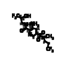 CN(CCC(F)(F)F)S(=O)(=O)c1cnc(C(=O)NCC(O)C(F)(F)F)c(N)c1